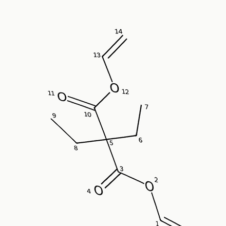 C=COC(=O)C(CC)(CC)C(=O)OC=C